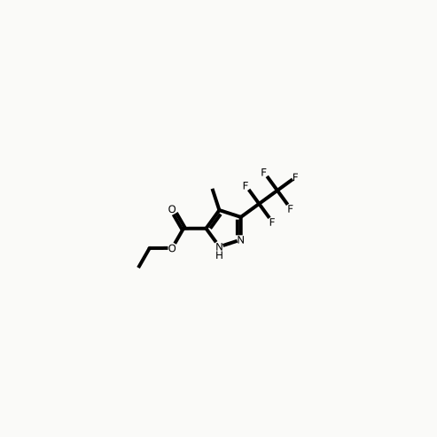 CCOC(=O)c1[nH]nc(C(F)(F)C(F)(F)F)c1C